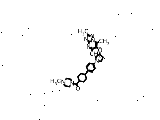 Cc1nc2nc(C)c(OC3CCN(c4ccc(C5CCC(C(=O)N6CCN(C)CC6)CC5)cc4)C3)c(C)n2n1